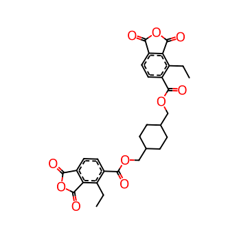 CCc1c(C(=O)OCC2CCC(COC(=O)c3ccc4c(c3CC)C(=O)OC4=O)CC2)ccc2c1C(=O)OC2=O